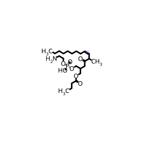 CCCCCCCC/C=C\C(C)C(=O)CC(COC(=O)CCC)COP(=O)(O)OCCN